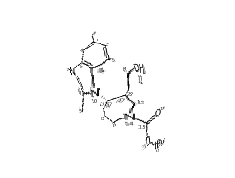 Cc1ccc2c(c1)nc(C)n2[C@H]1CCN(C(=O)OC(C)(C)C)C[C@@H]1CO